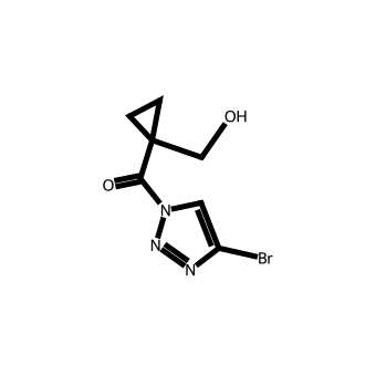 O=C(n1cc(Br)nn1)C1(CO)CC1